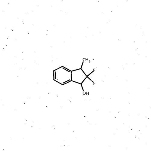 CC1c2ccccc2C(O)C1(F)F